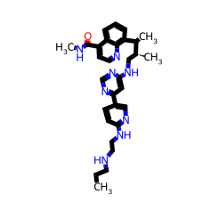 CCCNCCNc1ccc(-c2cc(NC[C@@H](C)C(C)c3cccc4c(C(=O)NC)ccnc34)ncn2)cn1